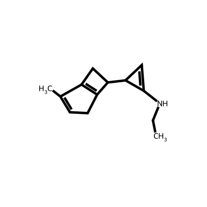 CCNC1=CC1C1CC2=C1CC=C2C